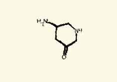 NC1CNCC(=O)C1